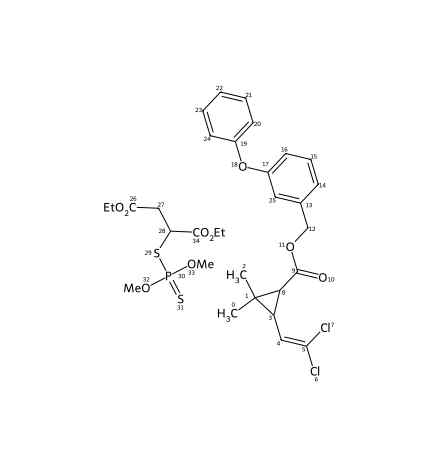 CC1(C)C(C=C(Cl)Cl)C1C(=O)OCc1cccc(Oc2ccccc2)c1.CCOC(=O)CC(SP(=S)(OC)OC)C(=O)OCC